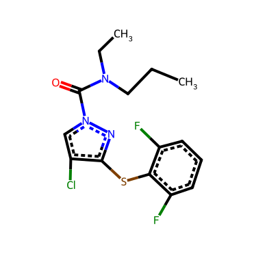 CCCN(CC)C(=O)n1cc(Cl)c(Sc2c(F)cccc2F)n1